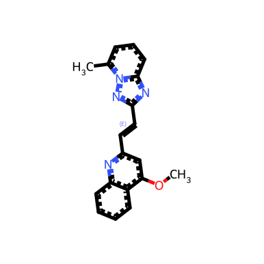 COc1cc(/C=C/c2nc3cccc(C)n3n2)nc2ccccc12